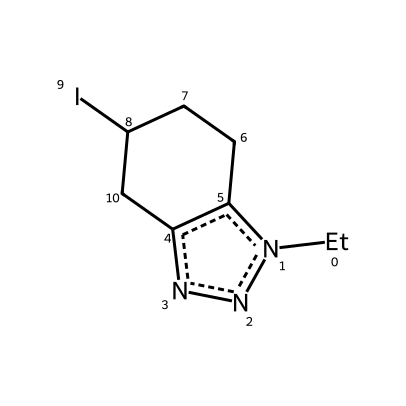 CCn1nnc2c1CCC(I)C2